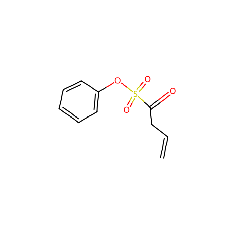 C=CCC(=O)S(=O)(=O)Oc1ccccc1